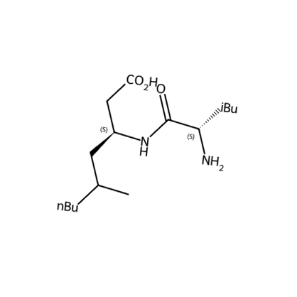 CCCCC(C)C[C@@H](CC(=O)O)NC(=O)[C@@H](N)C(C)CC